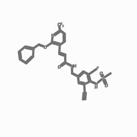 C#Cc1cc(CNC(=O)/C=C/c2ccc(C(F)(F)F)nc2OCc2ccccc2)cc(F)c1NS(C)(=O)=O